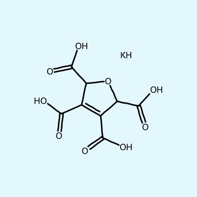 O=C(O)C1=C(C(=O)O)C(C(=O)O)OC1C(=O)O.[KH]